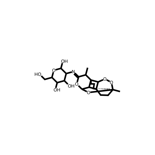 CC1/C(=N/C2C(O)OC(CO)C(O)C2O)OC2OC3(C)CCC45C(OO3)C1(CC[C@H]4C)C25